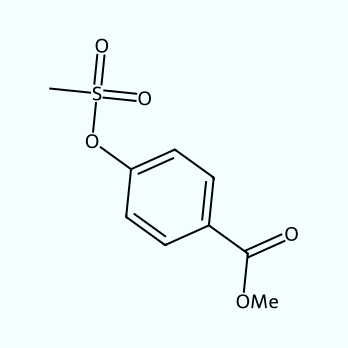 COC(=O)c1ccc(OS(C)(=O)=O)cc1